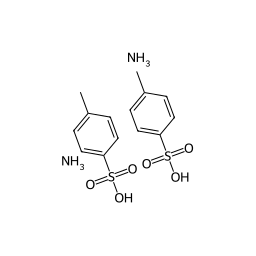 Cc1ccc(S(=O)(=O)O)cc1.Cc1ccc(S(=O)(=O)O)cc1.N.N